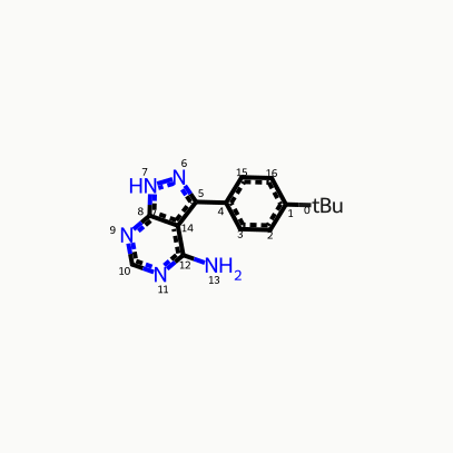 CC(C)(C)c1ccc(-c2n[nH]c3ncnc(N)c23)cc1